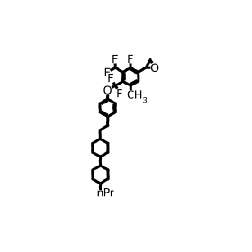 CCCC1CCC(C2CCC(CCc3ccc(OC(F)(F)c4c(C)cc(C5CO5)c(F)c4C(F)F)cc3)CC2)CC1